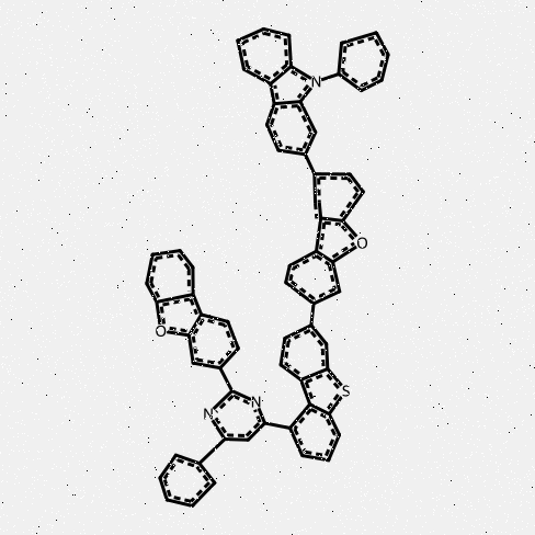 c1ccc(-c2cc(-c3cccc4sc5cc(-c6ccc7c(c6)oc6ccc(-c8ccc9c%10ccccc%10n(-c%10ccccc%10)c9c8)cc67)ccc5c34)nc(-c3ccc4c(c3)oc3ccccc34)n2)cc1